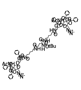 CC(=O)NC1C(OCC(CNC(=O)CCCCCNC(=O)CC[C@H](NC(=O)OC(C)(C)C)C(=O)NCCCCCC(=O)NCC(COC2OC(CN=[N+]=[N-])C(OC(=O)c3ccccc3)C(OC(=O)c3ccccc3)C2NC(C)=O)OC(=O)c2ccccc2)OC(=O)c2ccccc2)OC(CN=[N+]=[N-])C(OC(=O)c2ccccc2)C1OC(=O)c1ccccc1